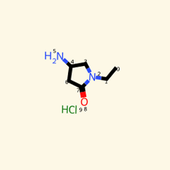 CCN1CC(N)CC1=O.Cl